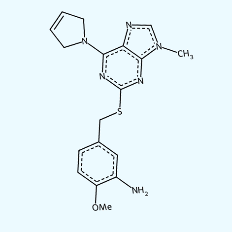 COc1ccc(CSc2nc(N3CC=CC3)c3ncn(C)c3n2)cc1N